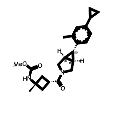 COC(=O)N[C@]1(C)C[C@H](C(=O)N2C[C@@H]3[C@H](C2)[C@H]3c2ccc(C3CC3)cc2C)C1